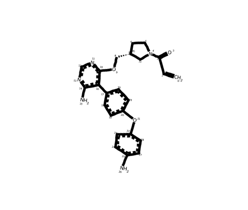 C=CC(=O)N1CC[C@@H](COc2ncnc(N)c2-c2ccc(Oc3ccc(N)cc3)cc2)C1